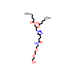 CCCCCCCCCCCCCC(=O)OCC(Cn1cc(CCC(=O)NCCOCCOCCO)nn1)OC(=O)CCCCCCCCCCCCC